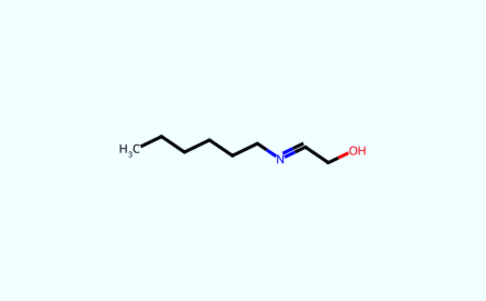 CCCCCCN=CCO